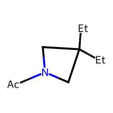 CCC1(CC)CN(C(C)=O)C1